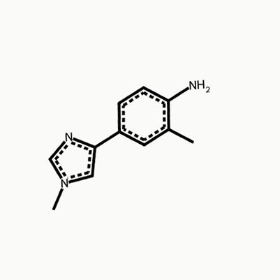 Cc1cc(-c2cn(C)cn2)ccc1N